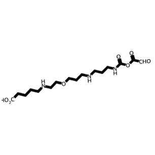 O=CC(=O)OC(=O)NCCCNCCCOCCNCCCCC(=O)O